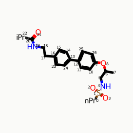 CCCS(=O)(=O)NCC(C)Oc1ccc(-c2ccc(CCNC(=O)C(C)C)cc2)cc1